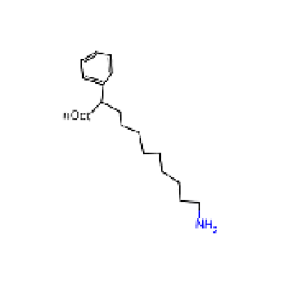 CCCCCCCCC(CCCCCCCCCN)c1ccccc1